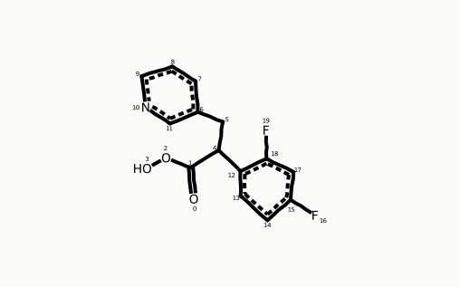 O=C(OO)C(Cc1cccnc1)c1ccc(F)cc1F